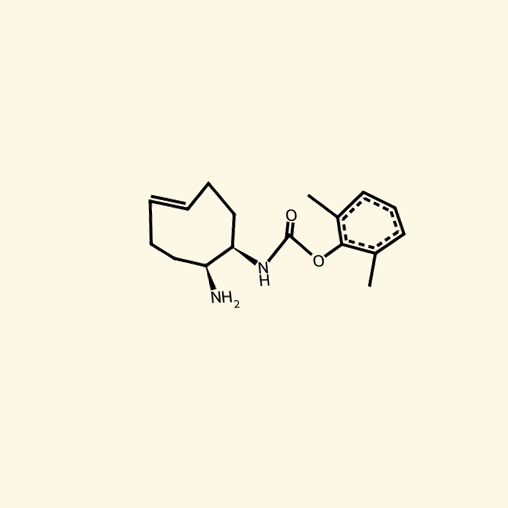 Cc1cccc(C)c1OC(=O)N[C@@H]1CC/C=C/CC[C@@H]1N